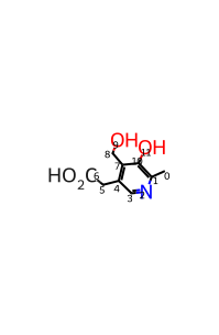 Cc1ncc(CC(=O)O)c(CO)c1O